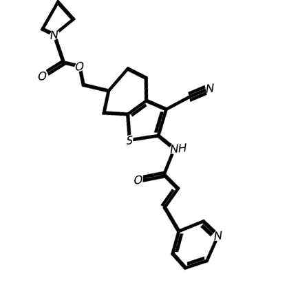 N#Cc1c(NC(=O)/C=C/c2cccnc2)sc2c1CCC(COC(=O)N1CCC1)C2